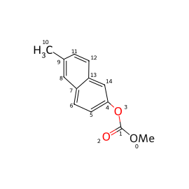 COC(=O)Oc1ccc2cc(C)ccc2c1